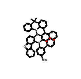 CC(C)(C)c1ccc(N2c3cc4ccccc4c4c3B(c3ccc5oc6ccccc6c5c32)N2c3ccccc3C(C)(C)c3cccc-4c32)c(-c2ccccc2)c1